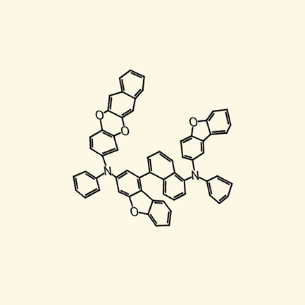 c1ccc(N(c2ccc3c(c2)Oc2cc4ccccc4cc2O3)c2cc(-c3cccc4c(N(c5ccccc5)c5ccc6oc7ccccc7c6c5)cccc34)c3c(c2)oc2ccccc23)cc1